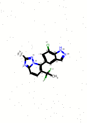 CC(F)(F)c1ccc2nc(C(F)(F)F)nn2c1-c1cc(Cl)c2[nH]ncc2c1